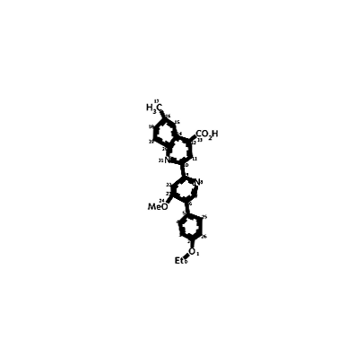 CCOc1ccc(-c2cnc(-c3cc(C(=O)O)c4cc(C)ccc4n3)cc2OC)cc1